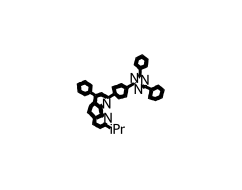 CC(C)c1ccc2ccc3c(-c4ccccc4)cc(-c4ccc(-c5nc(-c6ccccc6)nc(-c6ccccc6)n5)cc4)nc3c2n1